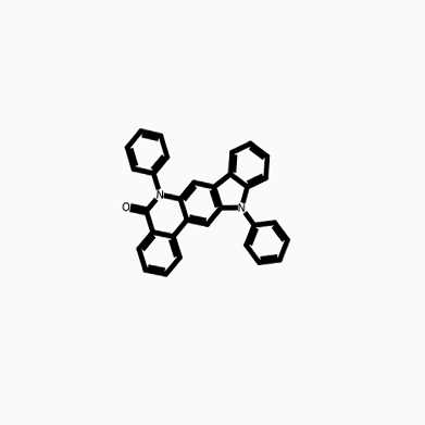 O=c1c2ccccc2c2cc3c(cc2n1-c1ccccc1)c1ccccc1n3-c1ccccc1